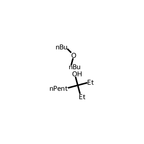 CCCCCC(O)(CC)CC.CCCCOCCCC